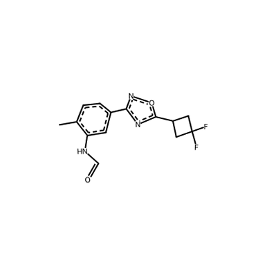 Cc1ccc(-c2noc(C3CC(F)(F)C3)n2)cc1NC=O